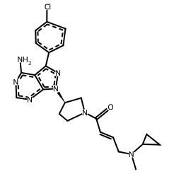 CN(C/C=C/C(=O)N1CC[C@@H](n2nc(-c3ccc(Cl)cc3)c3c(N)ncnc32)C1)C1CC1